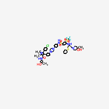 Cc1c(C(=O)NC2CC(C)(O)C2)c(-c2cccc(N3CCN(c4ccc(NS(=O)(=O)c5ccc(N[C@H](CCN6CCC(C)(O)CC6)CSC6C=CC=CC6)c(S(=O)(=O)C(F)(F)F)c5)cc4)CC3)c2)c(-c2ccc(Cl)cc2)n1C